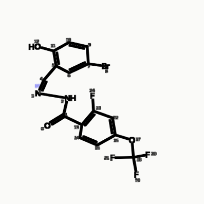 O=C(N/N=C\c1cc(Br)ccc1O)c1ccc(OC(F)(F)F)cc1F